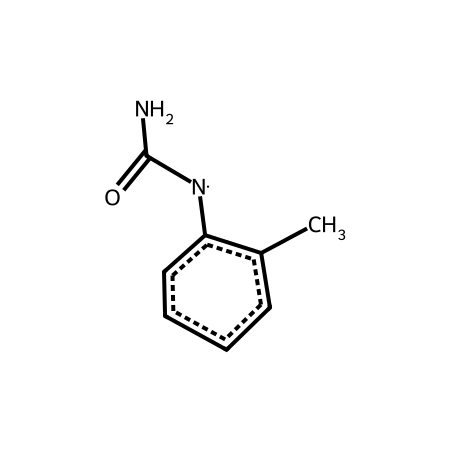 Cc1ccccc1[N]C(N)=O